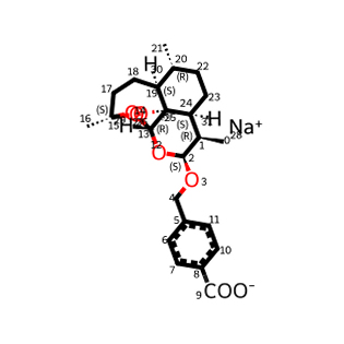 C[C@H]1[C@@H](OCc2ccc(C(=O)[O-])cc2)O[C@@H]2O[C@]3(C)CC[C@H]4[C@H](C)CC[C@@H]1[C@@]24OO3.[Na+]